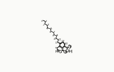 CCCCCCCCCCCCCc1ccc(C(=O)O)c(C(=O)O)c1CC